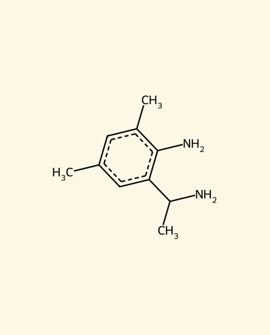 Cc1cc(C)c(N)c(C(C)N)c1